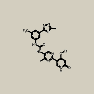 CCOc1cc(=O)[nH]cc1-c1ncc(NC(=O)Nc2cc(-c3nnc(C)o3)cc(C(F)(F)F)c2)c(C)n1